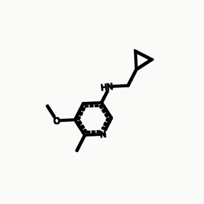 COc1cc(NCC2CC2)cnc1C